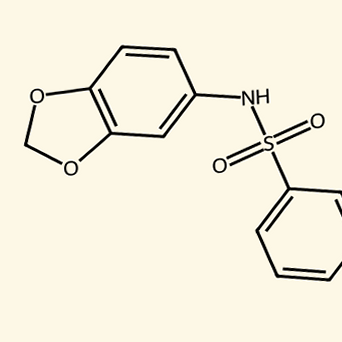 O=S(=O)(Nc1ccc2c(c1)OCO2)c1ccccc1